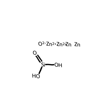 O=[Si](O)O.[O-2].[Zn+2].[Zn+2].[Zn].[Zn]